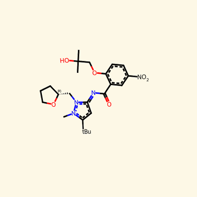 Cn1c(C(C)(C)C)cc(=NC(=O)c2cc([N+](=O)[O-])ccc2OCC(C)(C)O)n1C[C@H]1CCCO1